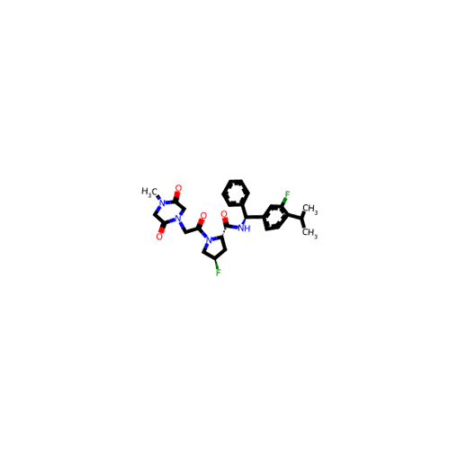 CC(C)c1ccc([C@@H](NC(=O)[C@@H]2C[C@@H](F)CN2C(=O)CN2CC(=O)N(C)CC2=O)c2ccccc2)cc1F